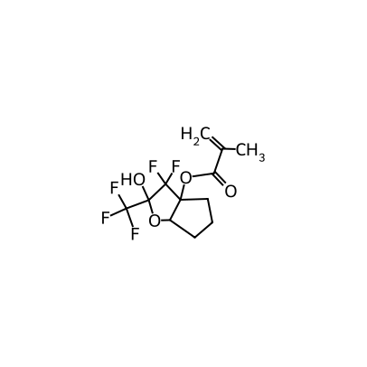 C=C(C)C(=O)OC12CCCC1OC(O)(C(F)(F)F)C2(F)F